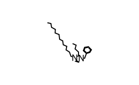 CCCCCCCCCCCCCN1C=CN(Cc2ccccc2)C1CCCC